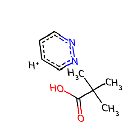 CC(C)(C)C(=O)O.[H+].c1ccnnc1